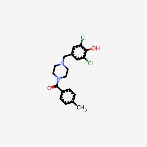 Cc1ccc(C(=O)N2CCN(Cc3cc(Cl)c(O)c(Cl)c3)CC2)cc1